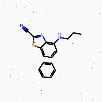 CCCNc1cccc2sc(C#N)nc12.c1ccccc1